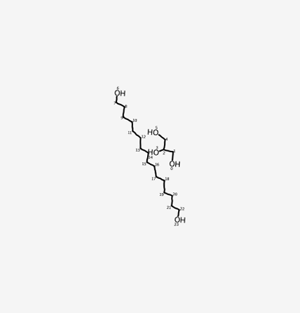 OCC(O)CO.OCCCCCCCCCCCCCCCCO